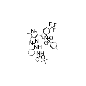 Cc1ccc(S(=O)(=O)n2cc(-c3cnc(C)c4cnc(NC5CCCCC5NC(=O)OC(C)(C)C)nc34)c3ccc(C(F)(F)F)cc32)cc1